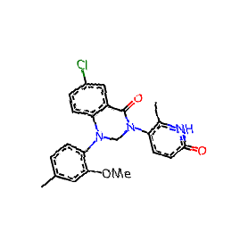 COc1cc(C)ccc1N1CN(c2ccc(=O)[nH]c2C)C(=O)c2cc(Cl)ccc21